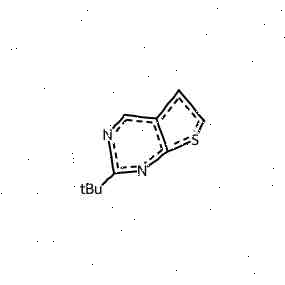 CC(C)(C)c1ncc2ccsc2n1